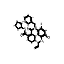 C=CCOc1cc(N(Cc2cccnc2)C(=O)C2=C(C(=O)OC3CCCC3)CCCC2)c(F)cc1Cl